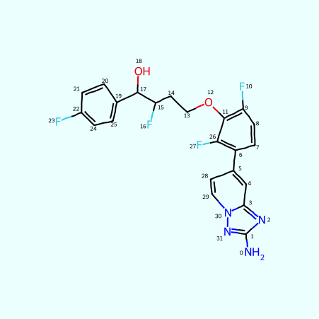 Nc1nc2cc(-c3ccc(F)c(OCCC(F)C(O)c4ccc(F)cc4)c3F)ccn2n1